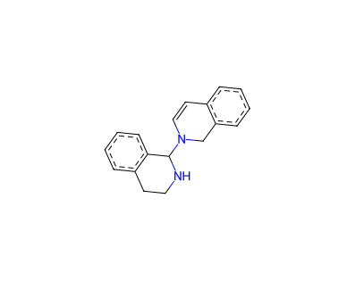 C1=CN(C2NCCc3ccccc32)Cc2ccccc21